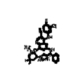 CN1CC(N2C=C([C@@H](Nc3cc(Cl)c4ncc(C#N)c(Nc5ccc(F)c(Cl)c5)c4c3)c3ccccc3)NN2)CC(F)(F)C1